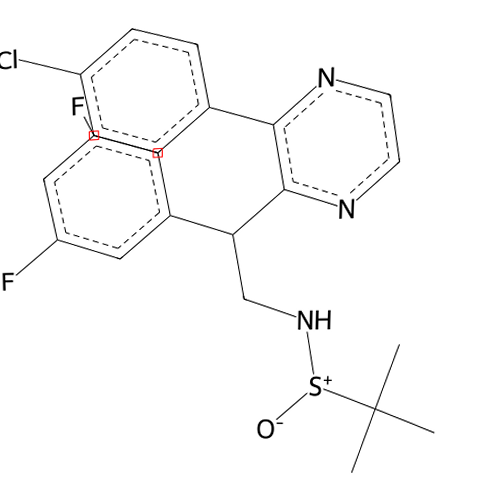 CC(C)(C)[S+]([O-])NCC(c1cc(F)cc(F)c1)c1nccnc1-c1ccc(Cl)cc1